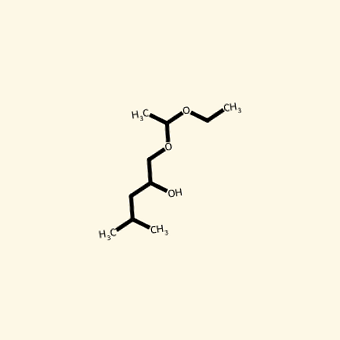 CCOC(C)OCC(O)CC(C)C